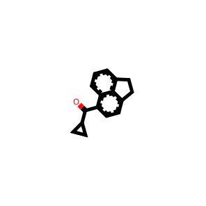 O=C(c1ccc2c3c(cccc13)CC2)C1CC1